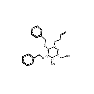 C=CCO[C@H]1O[C@H](CO)[C@@H](OC(C)=O)[C@H](OCc2ccccc2)[C@H]1OCc1ccccc1